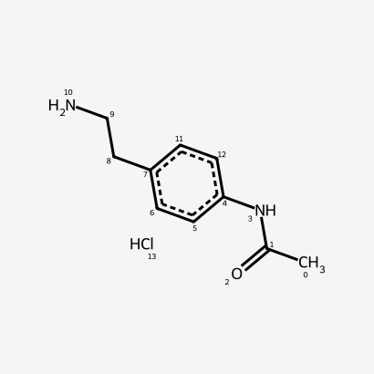 CC(=O)Nc1ccc(CCN)cc1.Cl